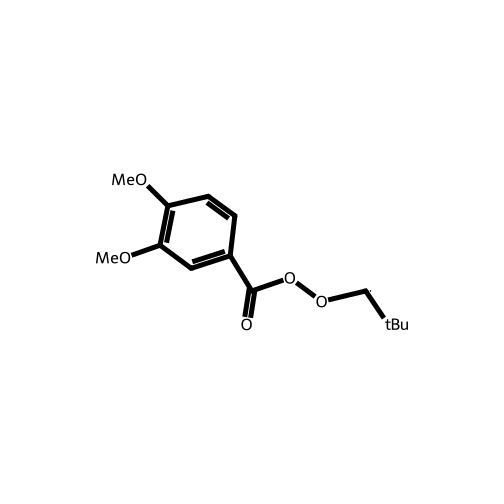 COc1ccc(C(=O)OO[CH]C(C)(C)C)cc1OC